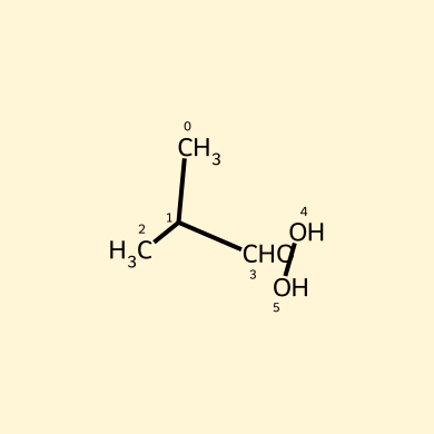 CC(C)C=O.OO